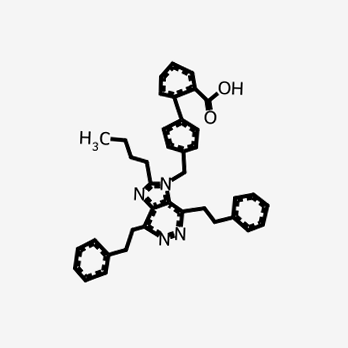 CCCCc1nc2c(CCc3ccccc3)nnc(CCc3ccccc3)c2n1Cc1ccc(-c2ccccc2C(=O)O)cc1